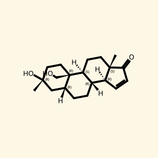 C[C@@]1(O)CC[C@@]2(CO)[C@H](CC[C@@H]3[C@@H]2CC[C@]2(C)C(=O)C=C[C@@H]32)C1